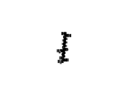 N=C(N)NCCCC(N)C(=O)OCCCCCON(O)O